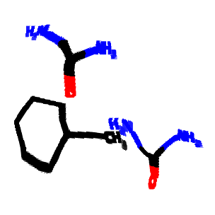 CC1CCCCC1.NC(N)=O.NC(N)=O